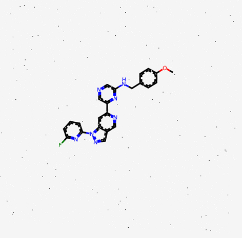 COc1ccc(CNc2cncc(-c3cc4c(cn3)cnn4-c3cccc(F)n3)n2)cc1